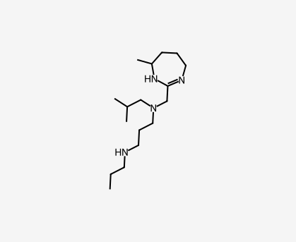 CCCNCCCN(CC1=NCCCC(C)N1)CC(C)C